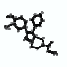 C=CC(=O)N1CCn2nc(-c3ccc(OC)c(Cl)c3)c(-c3ccncc3)c2C1